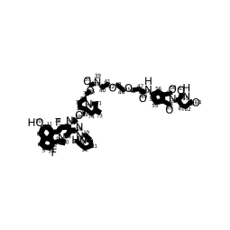 C#Cc1c(F)ccc2cc(O)cc(-c3ncc4c(N5CC6CCC(C5)N6)nc(OC[C@@]56CC[C@@H](COC(=O)N(C)CCOCCOCCC(=O)Nc7ccc8c(c7)C(=O)N(C7CCC(=O)NC7=O)C8=O)N5CC(=C)C6)nc4c3F)c12